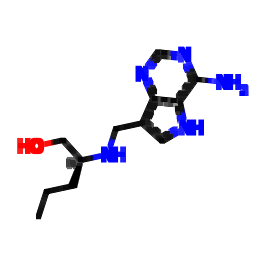 CCC[C@@H](CO)NCc1c[nH]c2c(N)ncnc12